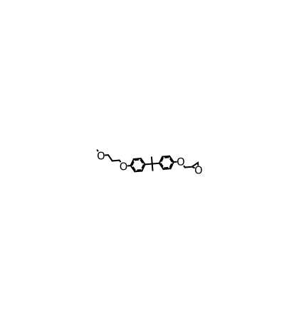 COCCCOc1ccc(C(C)(C)c2ccc(OCC3CO3)cc2)cc1